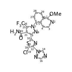 COc1nccc2c(-n3nc(-c4nc(-n5cncn5)c(Cl)s4)c(C(N)=O)c3C(F)(F)F)cccc12